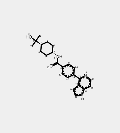 CC(C)(O)[C@H]1CC[C@H](NC(=O)c2ccc(-c3nccc4sccc34)cc2)CC1